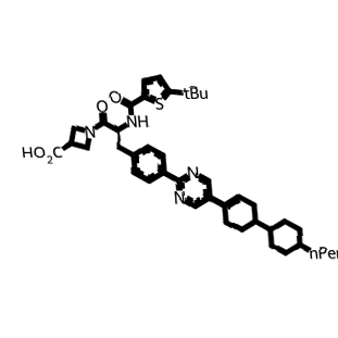 CCCCCC1CCC(C2CC=C(c3cnc(-c4ccc(C[C@H](NC(=O)c5ccc(C(C)(C)C)s5)C(=O)N5CC(C(=O)O)C5)cc4)nc3)CC2)CC1